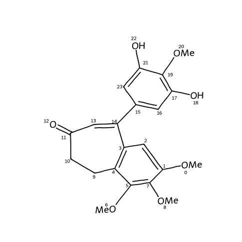 COc1cc2c(c(OC)c1OC)CCC(=O)C=C2c1cc(O)c(OC)c(O)c1